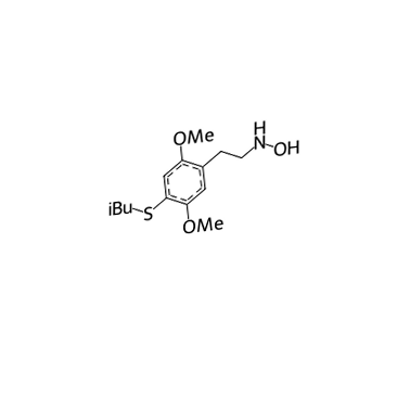 CCC(C)Sc1cc(OC)c(CCNO)cc1OC